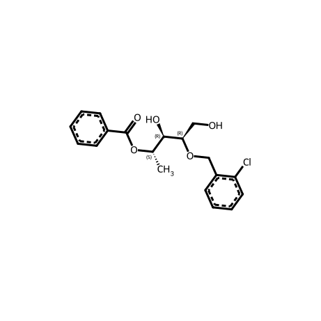 C[C@H](OC(=O)c1ccccc1)[C@@H](O)[C@@H](CO)OCc1ccccc1Cl